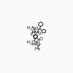 CC(C(=O)NC(F)C(F)F)c1cc(F)c(NC(=O)C(OC(N)=O)C(C2CCCCC2)C2CCCCC2)cc1CCl